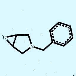 c1ccc(CN2CC3OC3C2)cc1